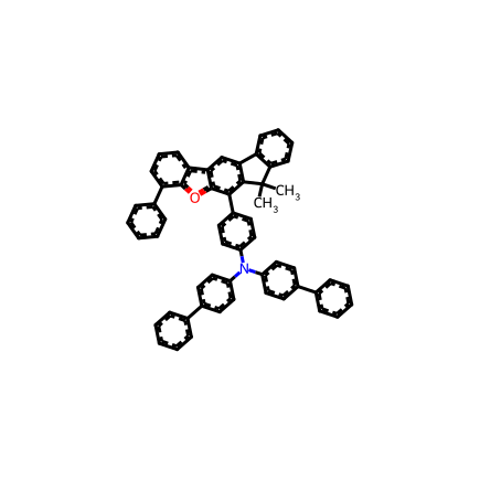 CC1(C)c2ccccc2-c2cc3c(oc4c(-c5ccccc5)cccc43)c(-c3ccc(N(c4ccc(-c5ccccc5)cc4)c4ccc(-c5ccccc5)cc4)cc3)c21